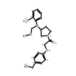 CCOCN(c1ccccc1C(F)(F)F)C1CCN(C(=O)COc2ccc(CO)cc2)C1